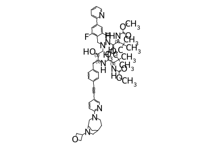 COC(=O)N[C@H](C(=O)N[C@@H](Cc1ccc(C#Cc2ccc(N3CCC4CC(C3)N(C3COC3)C4)nc2)cc1)[C@@H](O)CN(Cc1c(F)cc(-c2ccccn2)cc1F)NC(=O)[C@@H](NC(=O)OC)C(C)(C)C)C(C)(C)C